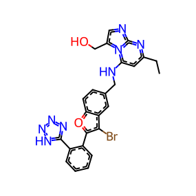 CCc1cc(NCc2ccc3oc(-c4ccccc4-c4nnn[nH]4)c(Br)c3c2)n2c(CO)cnc2n1